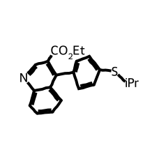 CCOC(=O)c1cnc2ccccc2c1-c1ccc(SC(C)C)cc1